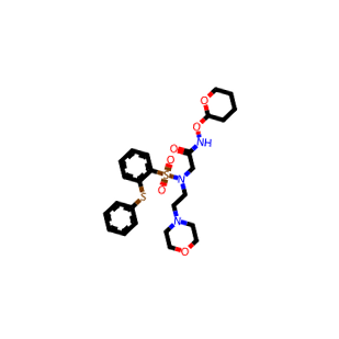 O=C(CN(CCN1CCOCC1)S(=O)(=O)c1ccccc1Sc1ccccc1)NOC1CCCCO1